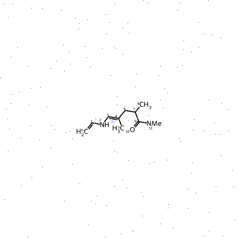 C=CN/C=C(\C)CC(C)C(=O)NC